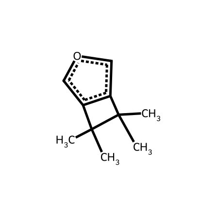 CC1(C)c2cocc2C1(C)C